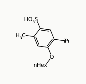 CCCCCCOc1cc(C)c(S(=O)(=O)O)cc1C(C)C